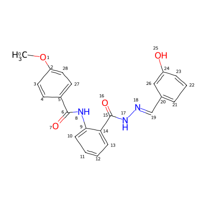 COc1ccc(C(=O)Nc2ccccc2C(=O)N/N=C/c2cccc(O)c2)cc1